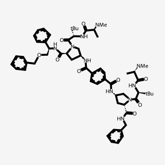 CN[C@@H](C)C(=O)N[C@H](C(=O)N1C[C@@H](NC(=O)c2ccc(C(=O)N[C@H]3C[C@@H](C(=O)N[C@@H](COCc4ccccc4)c4ccccc4)N(C(=O)[C@@H](NC(=O)[C@H](C)NC)C(C)(C)C)C3)cc2)C[C@H]1C(=O)NCc1ccccc1)C(C)(C)C